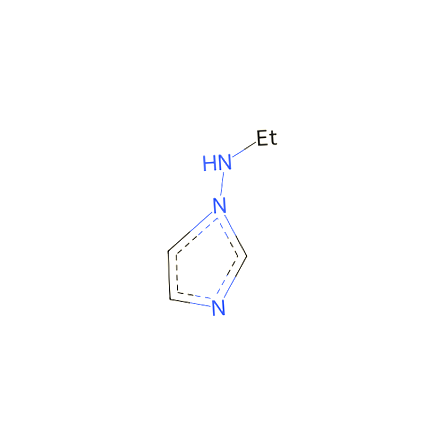 CCNn1ccnc1